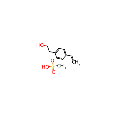 C=Cc1ccc(CCO)cc1.CS(=O)(=O)O